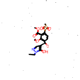 CCn1ncc(C(=O)c2ccc(S(C)(=O)=O)c(C(=O)OC)c2OC)c1O